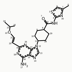 Cc1csc(NC(=O)C2CCC(n3cnc4c(N)nc(C=COC(C)C)nc43)CC2)n1